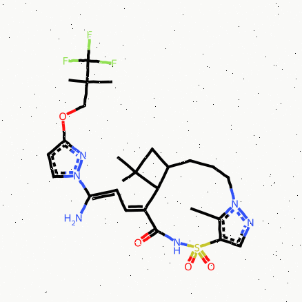 Cc1c2cnn1CCCC1CC(C)(C)C1/C(=C\C=C(/N)n1ccc(OCC(C)(C)C(F)(F)F)n1)C(=O)NS2(=O)=O